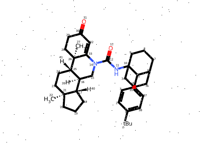 CC(C)(C)c1ccc(C2C3CCCC2(NC(=O)N2C[C@H]4[C@@H]5CCC[C@@]5(C)CC[C@@H]4[C@@]4(C)CCC(=O)C=C24)CCC3)cc1